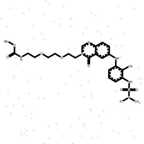 CCN(C)S(=O)(=O)Nc1cccc(Nc2ccc3ncn(CCOCCOCCNC(=O)OC(C)(C)C)c(=O)c3c2)c1C#N